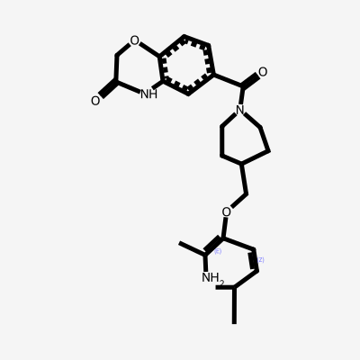 C/C(N)=C(/C=C\C(C)C)OCC1CCN(C(=O)c2ccc3c(c2)NC(=O)CO3)CC1